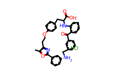 Cc1oc(-c2ccccc2)nc1CCOc1ccc(CC(Nc2ccccc2C(=O)c2cccc(CN)c2)C(=O)O)cc1.Cl